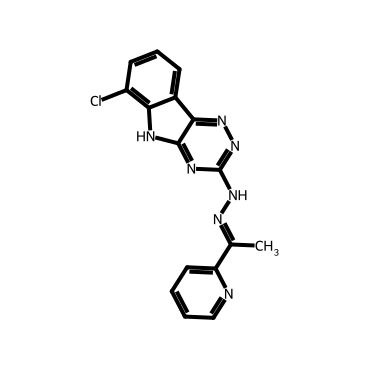 C/C(=N\Nc1nnc2c(n1)[nH]c1c(Cl)cccc12)c1ccccn1